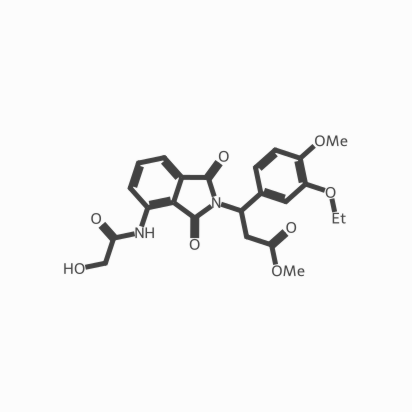 CCOc1cc(C(CC(=O)OC)N2C(=O)c3cccc(NC(=O)CO)c3C2=O)ccc1OC